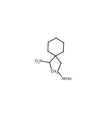 CC(=O)NCCC1(C(C)[N+](=O)[O-])CCCCC1